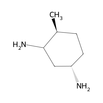 C[C@H]1CC[C@H](N)CC1N